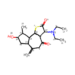 C=C1CC(=O)C2C(SC(=O)C2N(CC)CC)C2C1CC(O)C2C